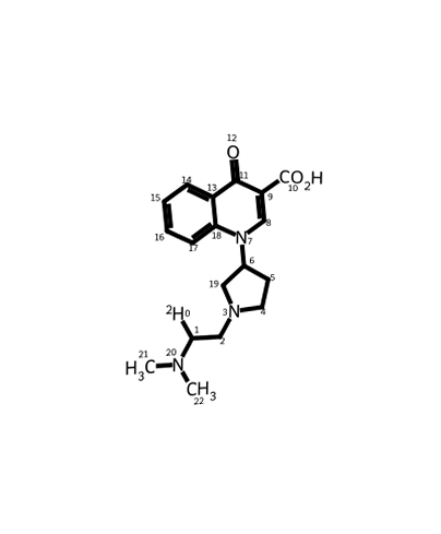 [2H]C(CN1CCC(n2cc(C(=O)O)c(=O)c3ccccc32)C1)N(C)C